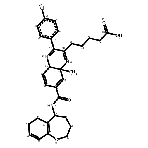 CC12C=C(C(=O)NC3CCCOC4=C3CCC=C4)C=CC1N=C(c1ccc(Cl)cc1)C(CCCCC(=O)O)=N2